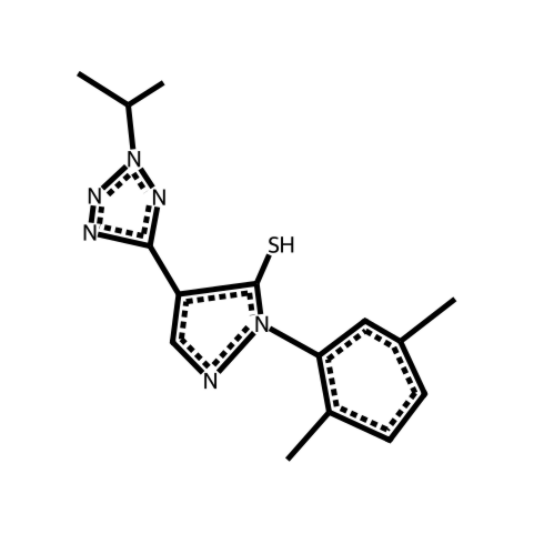 Cc1ccc(C)c(-n2ncc(-c3nnn(C(C)C)n3)c2S)c1